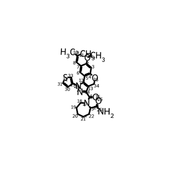 COc1cc2c(cc1C=C(C)C)-c1c(c(C(=O)N3CCC[CH]CC3C(N)=O)nn1-c1ccsc1)CO2